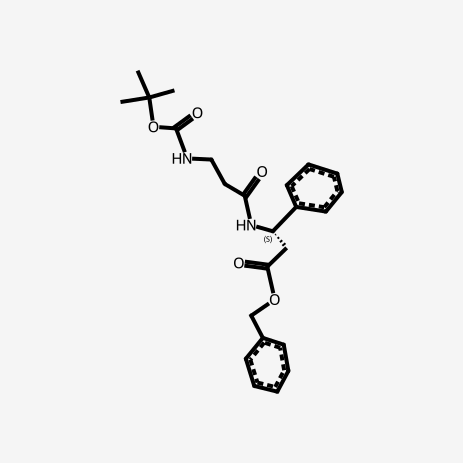 CC(C)(C)OC(=O)NCCC(=O)N[C@@H](CC(=O)OCc1ccccc1)c1ccccc1